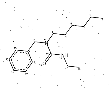 CCCCCCN(Cc1ccccc1)C(=O)NCC